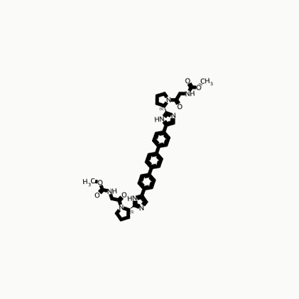 COC(=O)NCC(=O)N1CCC[C@H]1c1ncc(-c2ccc(-c3ccc(-c4ccc(-c5cnc([C@@H]6CCCN6C(=O)CNC(=O)OC)[nH]5)cc4)cc3)cc2)[nH]1